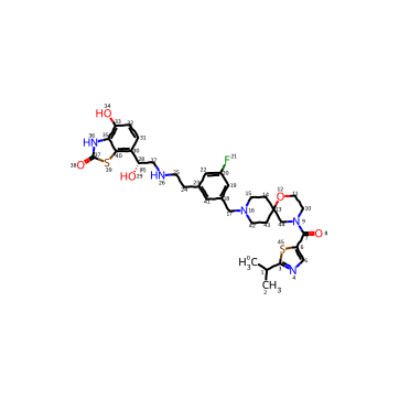 CC(C)c1ncc(C(=O)N2CCOC3(CCN(Cc4cc(F)cc(CCNC[C@H](O)c5ccc(O)c6[nH]c(=O)sc56)c4)CC3)C2)s1